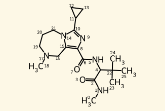 CNC(=O)C(NC(=O)c1nc(C2CC2)n2c1CN(C)CCC2)C(C)(C)C